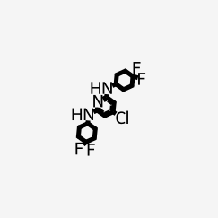 FC1(F)CCC(Nc2cc(Cl)cc(NC3CCC(F)(F)CC3)n2)CC1